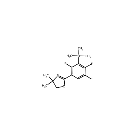 CC1(C)COC(c2cc(F)c(F)c([Si](C)(C)C)c2F)=N1